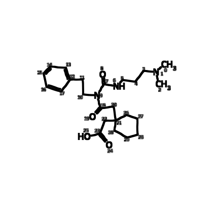 CN(C)CCCNC(=O)N(CCc1ccccc1)C(=O)CC1(CC(=O)O)CCCCC1